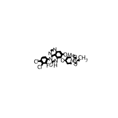 C=CS(=O)(=O)N1CCC(Oc2c(OC)cc3ncnc4c3c2NC(=O)N4c2ccc(Cl)c(Cl)c2F)CC1